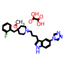 COC1(Cc2ccccc2F)CCN(CCCc2c[nH]c3ccc(-n4cnnc4)cc23)CC1.O=C(O)C(=O)O